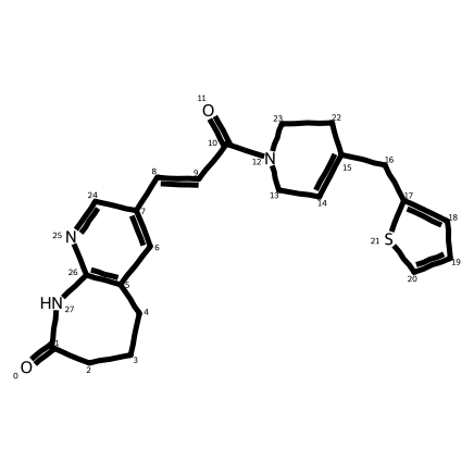 O=C1CCCc2cc(C=CC(=O)N3CC=C(Cc4cccs4)CC3)cnc2N1